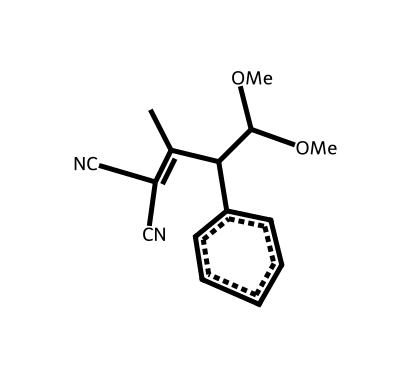 COC(OC)C(C(C)=C(C#N)C#N)c1ccccc1